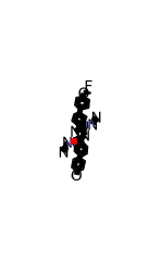 COc1ccc(-c2ccc3c(c2)/c(=N\C#N)c2nc4c(nc23)/c(=N/C#N)c2cc(-c3ccc(OCF)cc3)ccc24)cc1